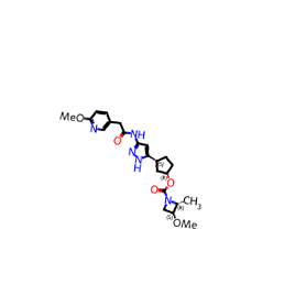 COc1ccc(CC(=O)Nc2cc([C@H]3CC[C@@H](OC(=O)N4C[C@H](OC)[C@H]4C)C3)[nH]n2)cn1